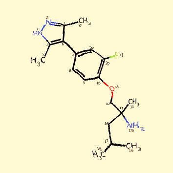 Cc1n[nH]c(C)c1-c1ccc(OCC(C)(N)CC(C)C)c(F)c1